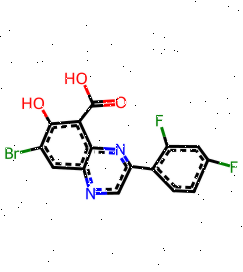 O=C(O)c1c(O)c(Br)cc2ncc(-c3ccc(F)cc3F)nc12